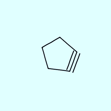 C1#CCCC1